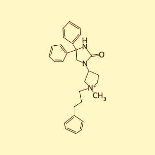 C[N+]1(CCCc2ccccc2)CCC(N2CC(c3ccccc3)(c3ccccc3)NC2=O)C1